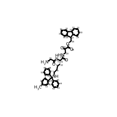 Cc1ccc(C(NCCCC[C@H](NC(=O)CN)C(=O)NCC(=O)C(=O)OCC2c3ccccc3-c3ccccc32)(c2ccccc2)c2ccccc2)cc1